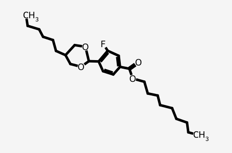 CCCCCCCCCOC(=O)c1ccc(C2OCC(CCCCCC)CO2)c(F)c1